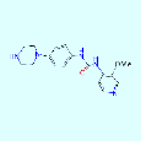 COc1cnccc1NC(=O)Nc1ccc(N2CCNCC2)cc1